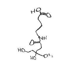 CC(O)(CCO)CC(=O)NCCCC(=O)O